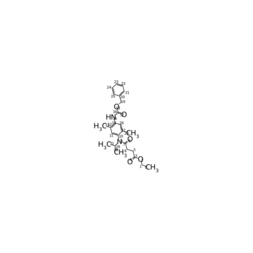 CCOC(=O)CCC(=O)N(c1cc(C)c(NC(=O)OCc2ccccc2)cc1C)C(C)C